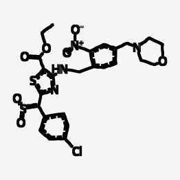 CCOC(=O)c1sc(C(c2ccc(Cl)cc2)=S(=O)=O)nc1NCc1ccc(CN2CCOCC2)cc1[N+](=O)[O-]